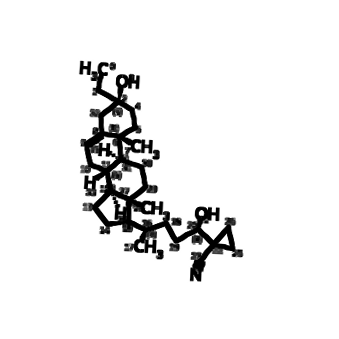 CC[C@]1(O)CC[C@@]2(C)C(=CC[C@H]3[C@@H]4CC[C@H]([C@H](C)CC[C@@H](O)C5(C#N)CC5)[C@@]4(C)CC[C@@H]32)C1